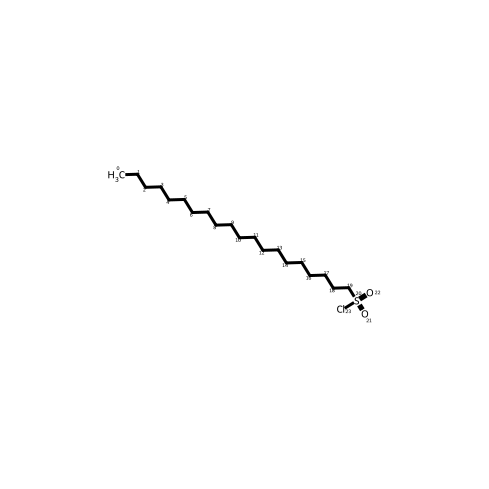 CCCCCCCCCCCCCCCCCCCCS(=O)(=O)Cl